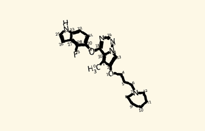 Cc1c(OCCCN2CCCCC2)cn2ncnc(Oc3ccc4[nH]ccc4c3F)c12